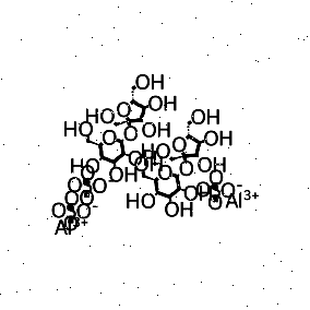 O=S(=O)([O-])[O-].O=S(=O)([O-])[O-].O=S(=O)([O-])[O-].OC[C@H]1O[C@@](CO)(O[C@H]2O[C@H](CO)[C@@H](O)[C@H](O)[C@H]2O)[C@@H](O)[C@@H]1O.OC[C@H]1O[C@@](CO)(O[C@H]2O[C@H](CO)[C@@H](O)[C@H](O)[C@H]2O)[C@@H](O)[C@@H]1O.[Al+3].[Al+3]